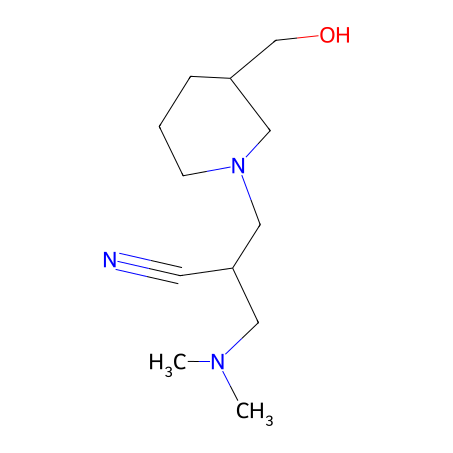 CN(C)CC(C#N)CN1CCCC(CO)C1